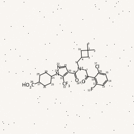 CC1(C)CC(CN(CC(=O)c2c(F)cccc2Cl)C(=O)c2cnn(C3CCC(C(=O)O)CC3)c2C(F)(F)F)C1